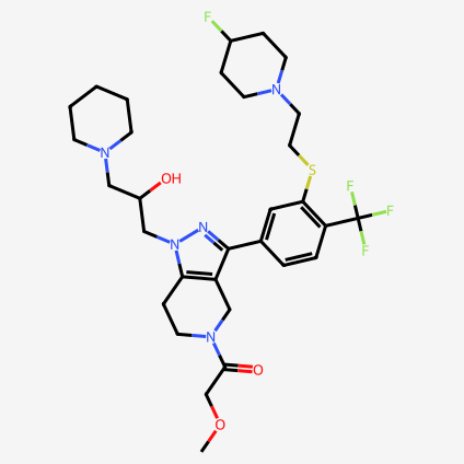 COCC(=O)N1CCc2c(c(-c3ccc(C(F)(F)F)c(SCCN4CCC(F)CC4)c3)nn2CC(O)CN2CCCCC2)C1